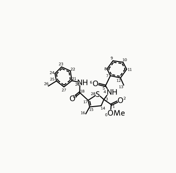 COC(=O)C1(NC(=O)c2ccccc2C)CC(C)=C(C(=O)Nc2cccc(C)c2)S1